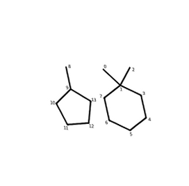 CC1(C)CCCCC1.CC1CCCC1